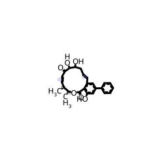 C[C@@H]1OC(=O)c2c(O)cc(-c3ccccc3)cc2/C=C/CC(O)C(O)C(=O)/C=C\[C@@H]1C